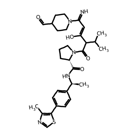 Cc1ncsc1-c1ccc([C@H](C)NC(=O)[C@@H]2CCCN2C(=O)C(/C(O)=C/C(=N)N2CCC(C=O)CC2)C(C)C)cc1